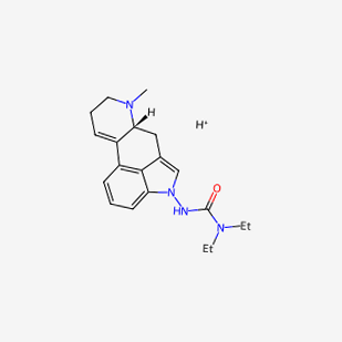 CCN(CC)C(=O)Nn1cc2c3c(cccc31)C1=CCCN(C)[C@@H]1C2.[H+]